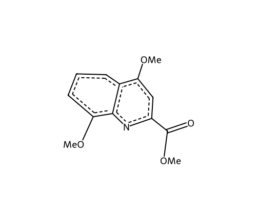 COC(=O)c1cc(OC)c2cccc(OC)c2n1